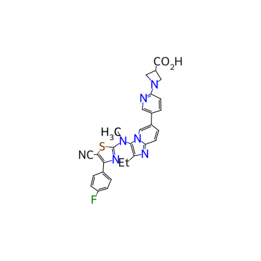 CCc1nc2ccc(-c3ccc(N4CC(C(=O)O)C4)nc3)cn2c1N(C)c1nc(-c2ccc(F)cc2)c(C#N)s1